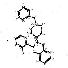 Cc1cccnc1CN(Cc1ncccc1C)C1CCN(Cc2cccnc2)CC1